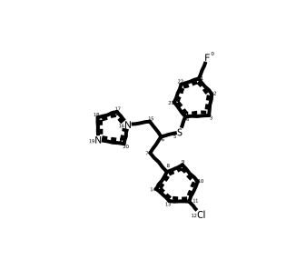 Fc1ccc(SC(Cc2ccc(Cl)cc2)Cn2ccnc2)cc1